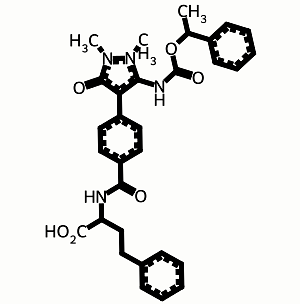 CC(OC(=O)Nc1c(-c2ccc(C(=O)NC(CCc3ccccc3)C(=O)O)cc2)c(=O)n(C)n1C)c1ccccc1